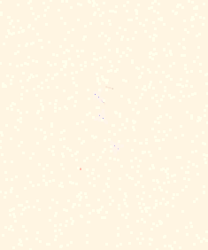 OCCC1CCN(c2ncc(Br)s2)CC1N1CCCC1